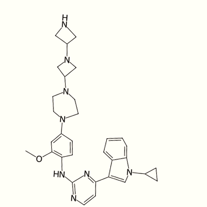 COc1cc(N2CCN(C3CN(C4CNC4)C3)CC2)ccc1Nc1nccc(-c2cn(C3CC3)c3ccccc23)n1